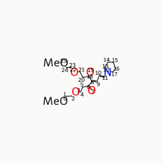 COCCOCCC(=O)C(=C/C=C/N1CCCCC1)C(=O)CCOCCOC